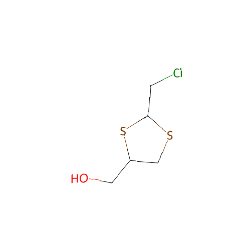 OCC1CSC(CCl)S1